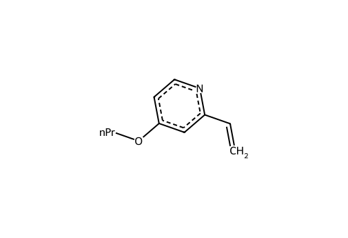 C=Cc1cc(OCCC)ccn1